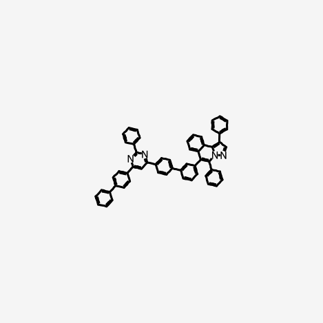 c1ccc(-c2ccc(-c3cc(-c4ccc(-c5cccc(-c6c(-c7ccccc7)n7ncc(-c8ccccc8)c7c7ccccc67)c5)cc4)nc(-c4ccccc4)n3)cc2)cc1